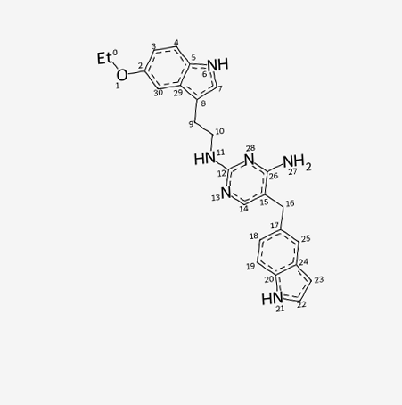 CCOc1ccc2[nH]cc(CCNc3ncc(Cc4ccc5[nH]ccc5c4)c(N)n3)c2c1